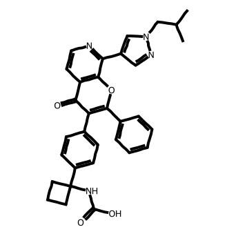 CC(C)Cn1cc(-c2nccc3c(=O)c(-c4ccc(C5(NC(=O)O)CCC5)cc4)c(-c4ccccc4)oc23)cn1